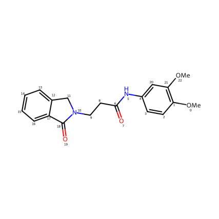 COc1ccc(NC(=O)CCN2Cc3ccccc3C2=O)cc1OC